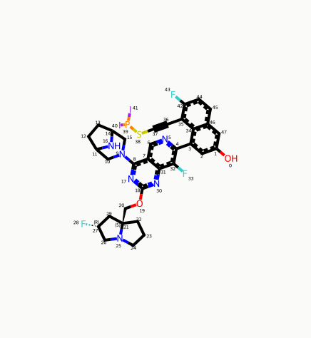 Oc1cc(-c2ncc3c(N4CC5CCC(C4)N5)nc(OC[C@@]45CCCN4C[C@H](F)C5)nc3c2F)c2c(C#CSP(I)I)c(F)ccc2c1